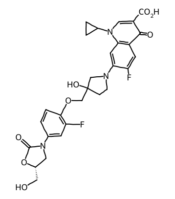 O=C(O)c1cn(C2CC2)c2cc(N3CCC(O)(COc4ccc(N5C[C@H](CO)OC5=O)cc4F)C3)c(F)cc2c1=O